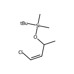 CC(/C=C\Cl)O[Si](C)(C)C(C)(C)C